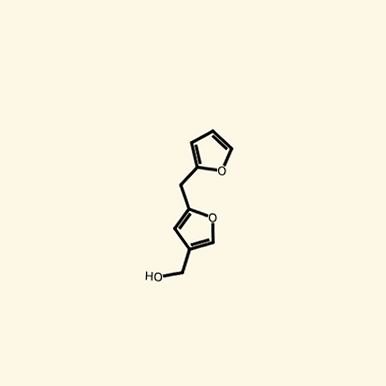 OCc1coc(Cc2ccco2)c1